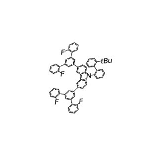 CC(C)(C)c1ccccc1-c1ccccc1-n1c2ccc(-c3cc(-c4ccccc4F)cc(-c4ccccc4F)c3)cc2c2cc(-c3cc(-c4ccccc4F)cc(-c4ccccc4F)c3)ccc21